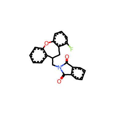 O=C1c2ccccc2C(=O)N1CC1Cc2c(F)cccc2Oc2ccccc21